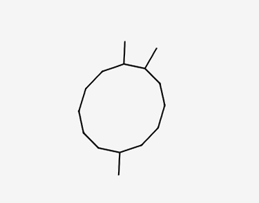 CC1CCCCCC(C)C(C)CCCC1